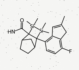 CC1=Cc2c(C34C5CCC(C5)C3(C([NH])=O)[Si](C)(C)[Si]4(C)C)ccc(F)c2C1